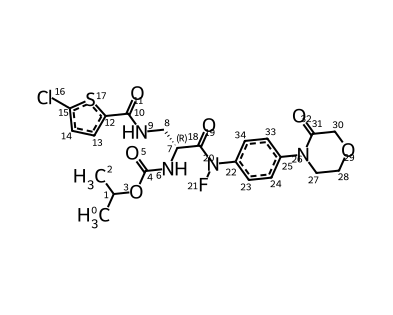 CC(C)OC(=O)N[C@H](CNC(=O)c1ccc(Cl)s1)C(=O)N(F)c1ccc(N2CCOCC2=O)cc1